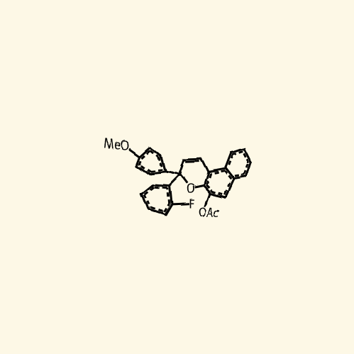 COc1ccc(C2(c3ccccc3F)C=Cc3c(c(OC(C)=O)cc4ccccc34)O2)cc1